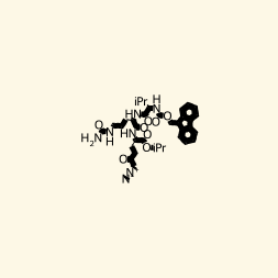 CC(C)OC(=O)[C@H](CCC(=O)C=[N+]=[N-])NC(=O)[C@H](CCCNC(N)=O)NC(=O)[C@@H](NC(=O)OCC1c2ccccc2-c2ccccc21)C(C)C